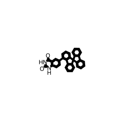 O=c1[nH]c(=O)c2cc(-c3cccc4c3-c3ccccc3C43c4ccccc4-c4ccccc43)ccc2[nH]1